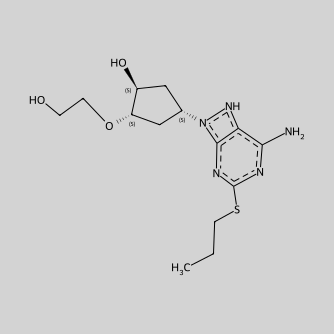 CCCSc1nc(N)c2[nH]n([C@@H]3C[C@H](OCCO)[C@@H](O)C3)c2n1